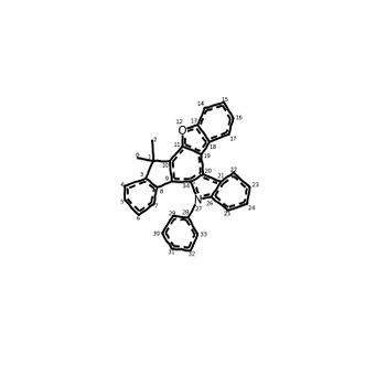 CC1(C)c2ccccc2-c2c1c1oc3ccccc3c1c1c3ccccc3n(-c3ccccc3)c21